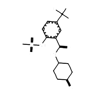 CS(=O)(=O)Nc1ccc(C(F)(F)F)cc1C(=O)NC1CCC(=O)CC1